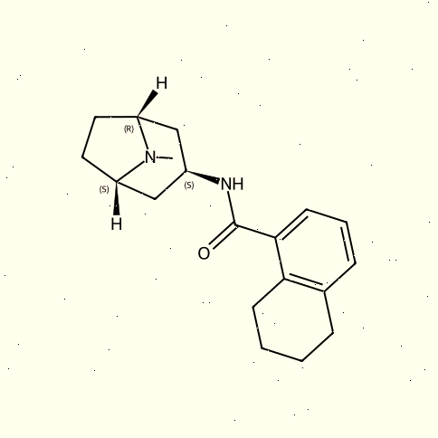 CN1[C@@H]2CC[C@H]1C[C@H](NC(=O)c1cccc3c1CCCC3)C2